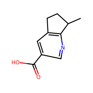 CC1CCc2cc(C(=O)O)cnc21